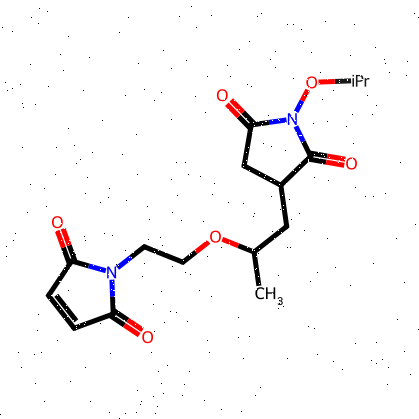 CC(C)ON1C(=O)CC(CC(C)OCCN2C(=O)C=CC2=O)C1=O